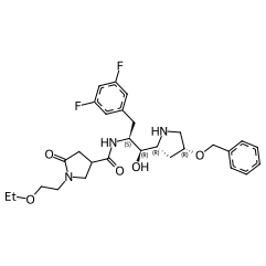 CCOCCN1CC(C(=O)N[C@@H](Cc2cc(F)cc(F)c2)[C@H](O)[C@H]2C[C@@H](OCc3ccccc3)CN2)CC1=O